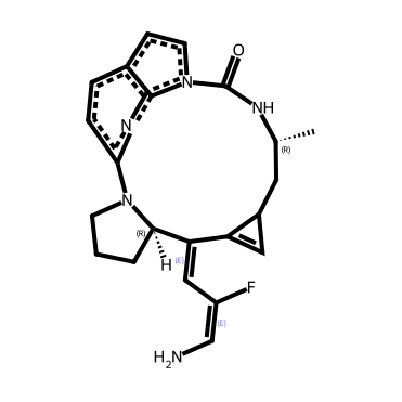 C[C@@H]1CC2C=C2/C(=C\C(F)=C/N)[C@H]2CCCN2c2ccc3ccn(c3n2)C(=O)N1